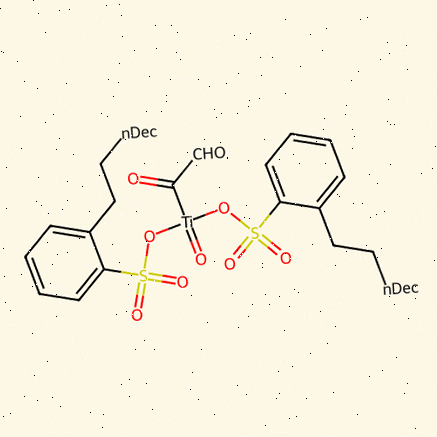 CCCCCCCCCCCCc1ccccc1S(=O)(=O)[O][Ti](=[O])([O]S(=O)(=O)c1ccccc1CCCCCCCCCCCC)[C](=O)C=O